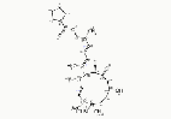 CC(=O)O[C@@H]1/C=C/[C@H](C)[C@H](/C(C)=C/C=C/[C@@H](C)COC(=O)N2CCSC2)C(=O)C(=O)C[C@H](O)CC[C@@]1(C)O